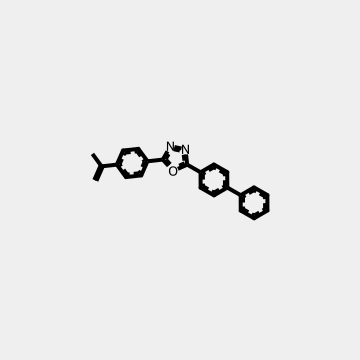 C=C(C)c1ccc(-c2nnc(-c3ccc(-c4ccccc4)cc3)o2)cc1